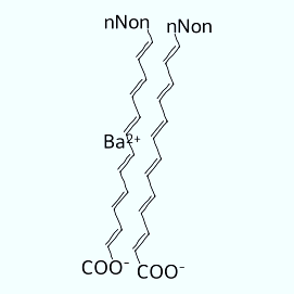 CCCCCCCCCC=CC=CC=CC=CC=CC=CC(=O)[O-].CCCCCCCCCC=CC=CC=CC=CC=CC=CC(=O)[O-].[Ba+2]